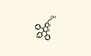 OCCn1cc2c(-c3ccccc3)c(-c3ccncc3)c(-c3ccccc3)nc2n1